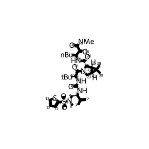 C=C(C)[C@@H](CN(C)S(=O)(=O)c1cccs1)NC(=O)N[C@H](C(=O)N1C[C@H]2[C@@H]([C@H]1C(=O)NC(CCCC)C(=O)C(=O)NC)C2(C)C)C(C)(C)C